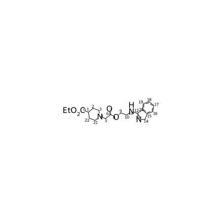 CCOC(=O)C1CCN(CC(=O)OCCNC2=NCc3ccccc32)CC1